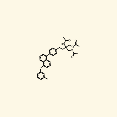 CC(=O)NC(CCc1ccc(-c2cccc3c(Sc4cccc(C)c4)cccc23)cc1)(COC(C)=O)COC(C)=O